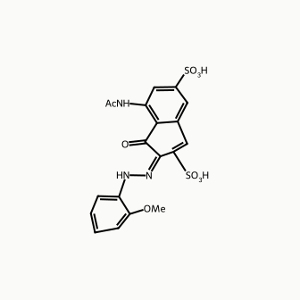 COc1ccccc1N/N=C1\C(=O)c2c(cc(S(=O)(=O)O)cc2NC(C)=O)C=C1S(=O)(=O)O